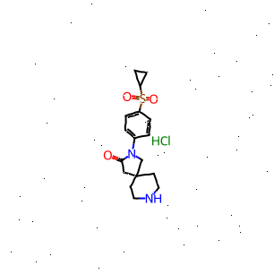 Cl.O=C1CC2(CCNCC2)CN1c1ccc(S(=O)(=O)C2CC2)cc1